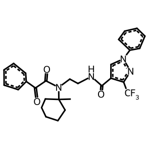 CC1(N(CCNC(=O)c2cn(-c3ccccc3)nc2C(F)(F)F)C(=O)C(=O)c2ccccc2)CCCCC1